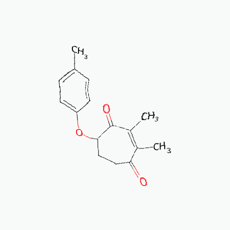 CC1=C(C)C(=O)C(Oc2ccc(C)cc2)CCC1=O